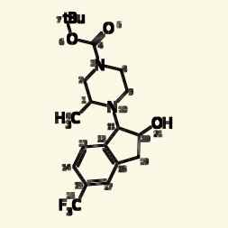 CC1CN(C(=O)OC(C)(C)C)CCN1C1c2ccc(C(F)(F)F)cc2CC1O